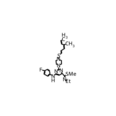 C\C=C/C(C)=C\C=C\SN1CCN(c2nc(Nc3ccc(F)cc3)cc(/C(=N/CC)SC)n2)CC1